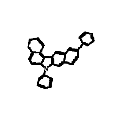 C1=Cc2c(ccc3c2c2cc4cc(-c5ccccc5)ccc4cc2n3-c2ccccc2)CC1